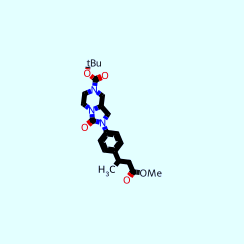 COC(=O)CC(C)c1ccc(N2CC3CN(C(=O)OC(C)(C)C)CCN3C2=O)cc1